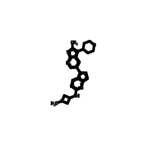 Cc1nc2ncc(-c3ccn4nc(NC5CN(C)C5)ncc34)cc2n1C1CCOCC1